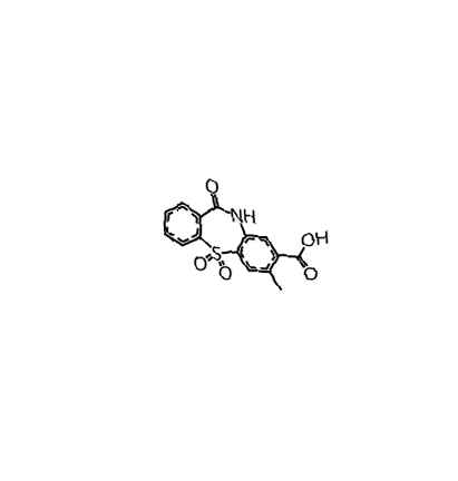 Cc1cc2c(cc1C(=O)O)NC(=O)c1ccccc1S2(=O)=O